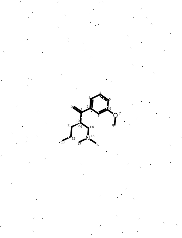 C=C(c1cccc(OC)c1)[C@H](CCC)CN(C)C